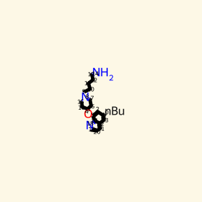 CCCCc1cc(OC2CCN(CCCCCN)CC2)c2ncccc2c1